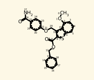 COc1cccc2sc(C(=O)OCc3ccccc3)c(COc3ccc(C(N)=O)cc3)c12